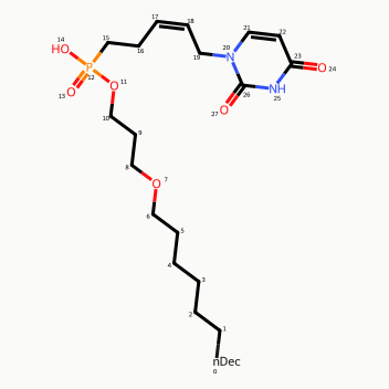 CCCCCCCCCCCCCCCCOCCCOP(=O)(O)CC/C=C\Cn1ccc(=O)[nH]c1=O